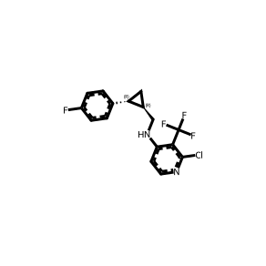 Fc1ccc([C@@H]2C[C@H]2CNc2ccnc(Cl)c2C(F)(F)F)cc1